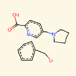 O=C(O)c1ccc(N2CCCC2)cn1.[O]Cc1ccccc1